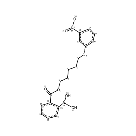 O=C(OCCCCCOc1cccc([N+](=O)[O-])c1)c1ccccc1B(O)O